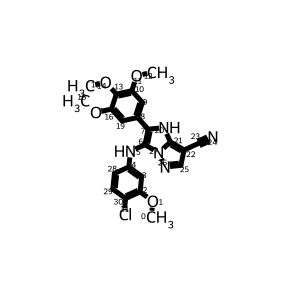 COc1cc(Nc2c(-c3cc(OC)c(OC)c(OC)c3)[nH]c3c(C#N)cnn23)ccc1Cl